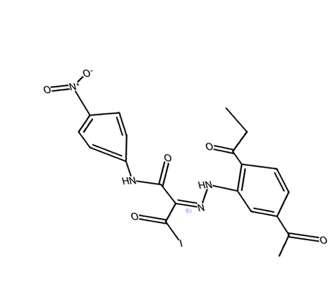 CCC(=O)c1ccc(C(C)=O)cc1N/N=C(/C(=O)I)C(=O)Nc1ccc([N+](=O)[O-])cc1